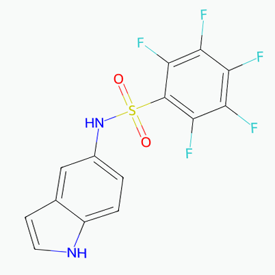 O=S(=O)(Nc1ccc2[nH]ccc2c1)c1c(F)c(F)c(F)c(F)c1F